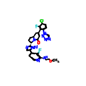 COCCNc1nccc(-c2cnc([C@@H]3CCC4CC(c5c(-n6cnnn6)ccc(Cl)c5F)=CC(=O)N43)[nH]2)c1F